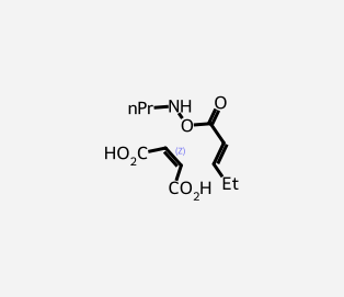 CCC=CC(=O)ONCCC.O=C(O)/C=C\C(=O)O